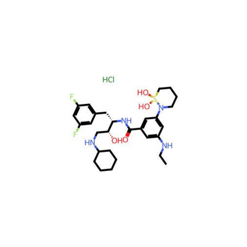 CCNc1cc(C(=O)N[C@@H](Cc2cc(F)cc(F)c2)[C@H](O)CNC2CCCCC2)cc(N2CCCCS2(O)O)c1.Cl